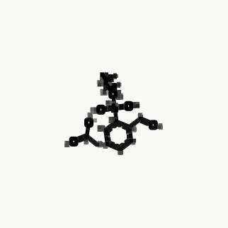 CC(=O)[O-].O=Cc1ccccc1S(=O)(=O)[O-].[Na+].[Na+]